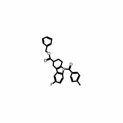 Cc1ccc(C(=O)n2c3c(c4cc(F)ccc42)CC(C(=O)OCc2ccccc2)CC3)cc1